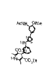 CCOC(=O)C1=C(C)NC(C)=C(C(=O)OCC)C1c1cccc(Nc2nc(-c3ccc(OC)c(NC(C)=O)c3)cs2)c1